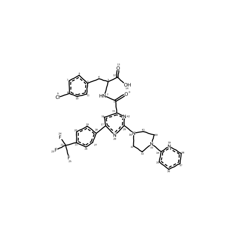 O=C(NC(Cc1ccc(Cl)cc1)C(=O)O)c1cc(-c2ccc(C(F)(F)F)cc2)nc(N2CCN(c3ccccn3)CC2)n1